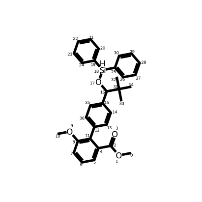 COC(=O)c1cccc(OC)c1-c1ccc(C(O[SiH](c2ccccc2)c2ccccc2)C(C)(C)C)cc1